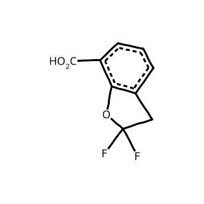 O=C(O)c1cccc2c1OC(F)(F)C2